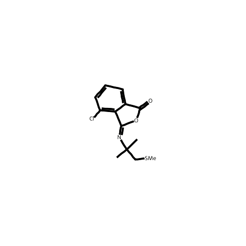 CSCC(C)(C)N=C1OC(=O)c2cccc(Cl)c21